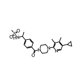 Cc1c(C2CC2)cnc(N2CCN(C(=O)c3ccc(C(C)NS(C)(=O)=O)cc3)CC2)c1C